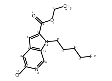 CCOC(=O)c1cc2cc(Cl)ncc2n1CCCCF